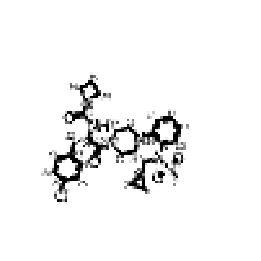 CS(=O)(=O)N(CC1CC1)c1ccccc1N1CCN(C(=O)[C@H](Cc2ccc(Cl)cc2)NC(=O)N2C[CH]C2)CC1